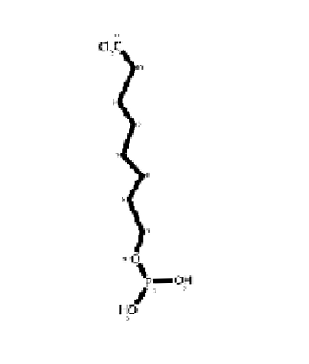 OP(O)OCCCCCCCC(Cl)(Cl)Cl